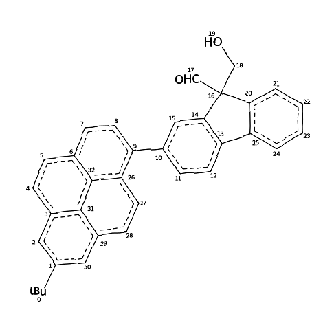 CC(C)(C)c1cc2ccc3ccc(-c4ccc5c(c4)C(C=O)(CO)c4ccccc4-5)c4ccc(c1)c2c34